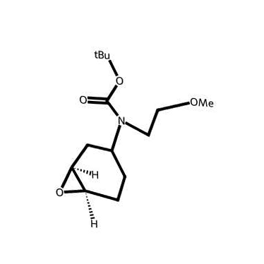 COCCN(C(=O)OC(C)(C)C)C1CC[C@H]2O[C@H]2C1